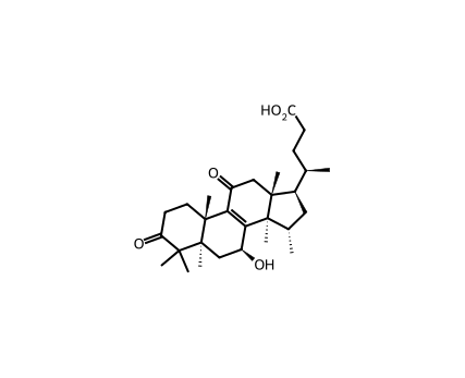 C[C@H](CCC(=O)O)[C@H]1C[C@H](C)[C@@]2(C)C3=C(C(=O)C[C@]12C)[C@@]1(C)CCC(=O)C(C)(C)[C@]1(C)C[C@@H]3O